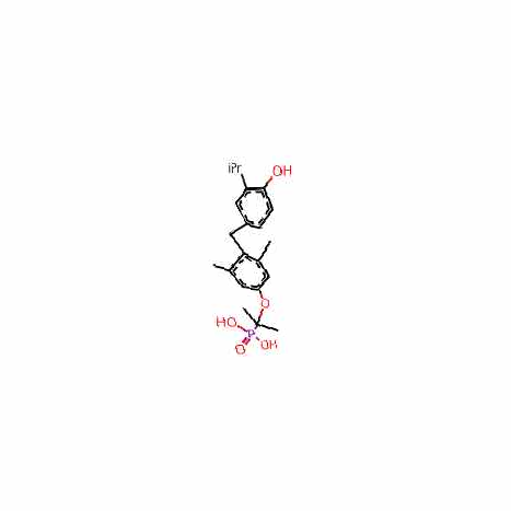 Cc1cc(OC(C)(C)P(=O)(O)O)cc(C)c1Cc1ccc(O)c(C(C)C)c1